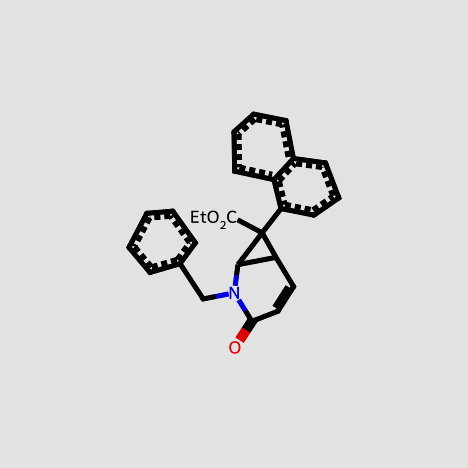 CCOC(=O)C1(c2cccc3ccccc23)C2C=CC(=O)N(Cc3ccccc3)C21